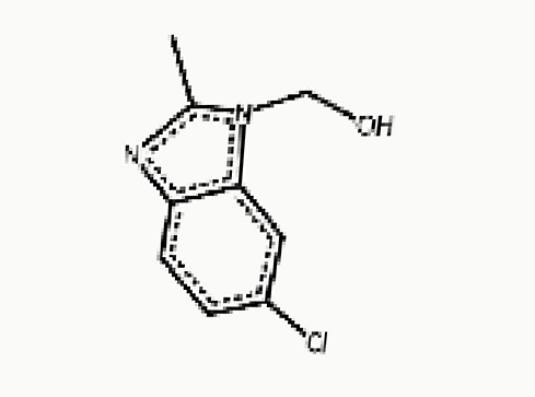 Cc1nc2ccc(Cl)cc2n1CO